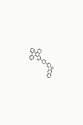 c1ccc2cc3c(cc2c1)oc1ccc(-c2ccc(-c4ccc5c(c4)c4ccccc4c4c6ccccc6c6ccccc6c54)cc2)cc13